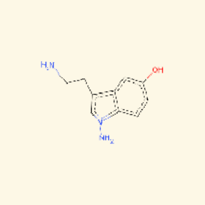 NCCc1cn(N)c2ccc(O)cc12